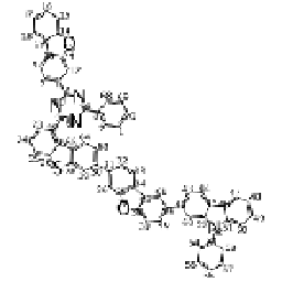 c1ccc(-c2nc(-c3ccc4c(c3)oc3ccccc34)nc(-c3cccc4sc5cc(-c6ccc7c(c6)oc6ccc(-c8ccc9c%10ccccc%10n(-c%10ccccc%10)c9c8)cc67)ccc5c34)n2)cc1